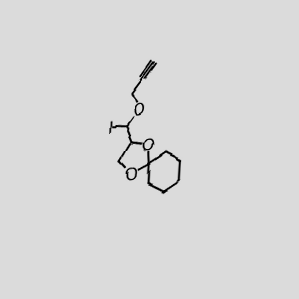 C#CCOC(I)C1COC2(CCCCC2)O1